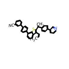 C=C(c1ccc(-c2cccnc2)cc1)c1sc2c(-c3ccc(-c4cccc(C#N)c4)cc3)cccc2c1/C=C\C